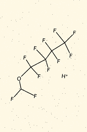 F[C](F)OC(F)(F)C(F)(F)C(F)(F)C(F)(F)F.[H+]